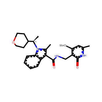 COc1cc(C)[nH]c(=O)c1CNC(=O)c1c(C)n([C@H](C)C2CCOCC2)c2ccccc12